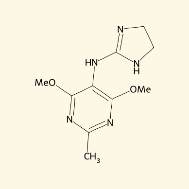 COc1nc(C)nc(OC)c1NC1=NCCN1